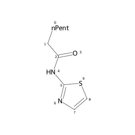 CCCCCCC(=O)Nc1nccs1